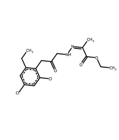 CCOC(=O)C(C)=NNCC(=O)Cc1c(Cl)cc(Cl)cc1CC